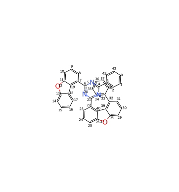 c1ccc(-c2nc(-c3cccc4oc5ccccc5c34)nc(-c3cccc4oc5cccc(-c6ccccc6)c5c34)n2)cc1